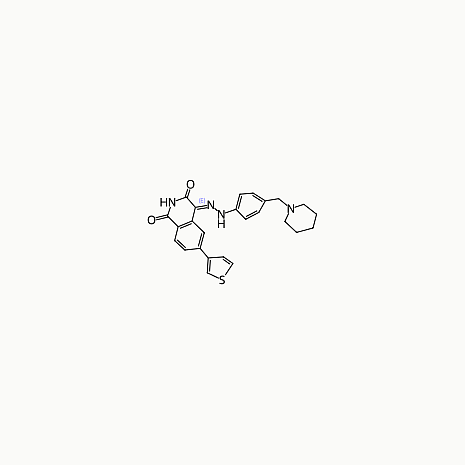 O=C1NC(=O)c2ccc(-c3ccsc3)cc2/C1=N\Nc1ccc(CN2CCCCC2)cc1